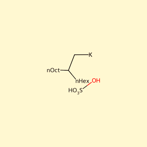 CCCCCCCCC([CH2][K])CCCCCC.O=S(=O)(O)O